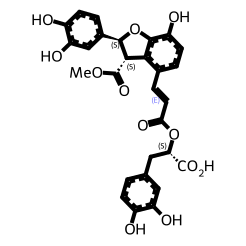 COC(=O)[C@H]1c2c(/C=C/C(=O)O[C@@H](Cc3ccc(O)c(O)c3)C(=O)O)ccc(O)c2O[C@@H]1c1ccc(O)c(O)c1